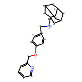 c1ccc(COc2ccc(CNC34CC5CC(CC(C5)C3)C4)cc2)nc1